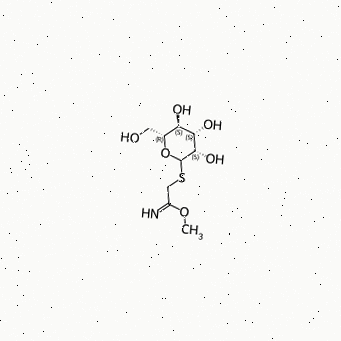 COC(=N)CSC1O[C@H](CO)[C@@H](O)[C@H](O)[C@@H]1O